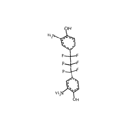 Nc1cc(C(F)(F)C(F)(F)C(F)(F)c2ccc(O)c(N)c2)ccc1O